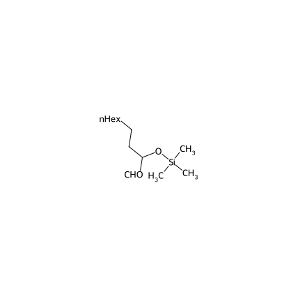 CCCCCCCCC(C=O)O[Si](C)(C)C